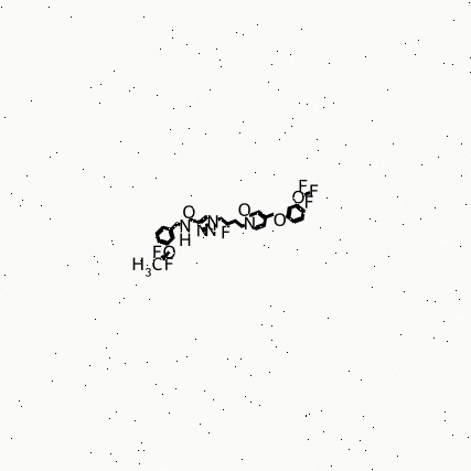 CC(F)(F)Oc1cccc(CNC(=O)c2cn(CC(F)CCn3ccc(COc4cccc(OC(F)(F)F)c4)cc3=O)nn2)c1